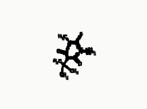 Cn1c(=S)n(N)c(=O)n(C(C)(C)C)c1=O